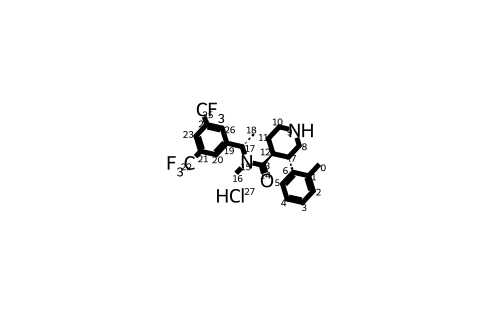 Cc1ccccc1[C@H]1CNCC[C@@H]1C(=O)N(C)[C@@H](C)c1cc(C(F)(F)F)cc(C(F)(F)F)c1.Cl